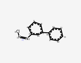 Cl/N=N\c1cccc(-c2ccccc2)c1